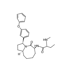 CCC(NC)C(=O)N[C@H]1CCCC[C@H]2CC[C@@H](c3cccc(Oc4ccccc4)c3)N2C1=O